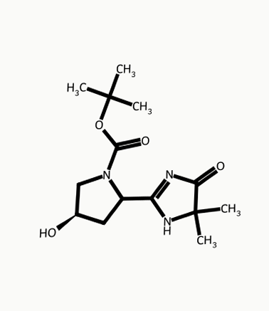 CC(C)(C)OC(=O)N1C[C@H](O)CC1C1=NC(=O)C(C)(C)N1